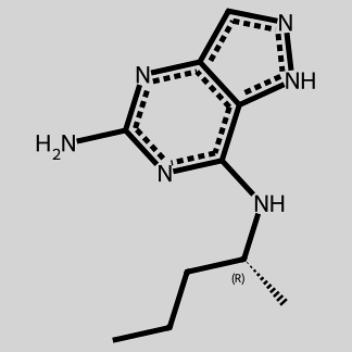 CCC[C@@H](C)Nc1nc(N)nc2cn[nH]c12